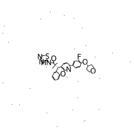 CC(C)(C(=O)Nc1nncs1)[C@H]1c2ccccc2Oc2nc(-c3ccc(OC4CCOCC4)c(F)c3)ccc21